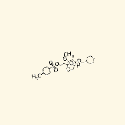 CO[C@@H]1C[C@H](OCC2CCCCC2)[C@H]2COC1(CCOS(=O)(=O)c1ccc(C)cc1)O2